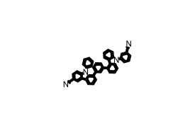 N#Cc1cccc(-n2c3ccccc3c3c(-c4cccc(-c5cccc6c7cc(C#N)ccc7n(-c7ccccc7)c56)c4)cccc32)c1